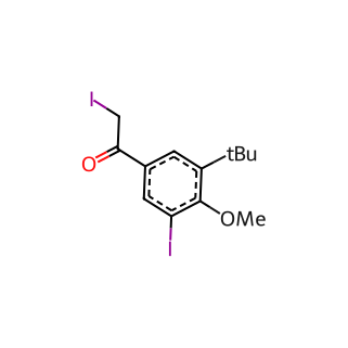 COc1c(I)cc(C(=O)CI)cc1C(C)(C)C